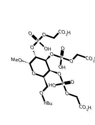 CCCCOC[C@H]1O[C@H](OC)[C@H](OP(=O)(O)OCC(=O)O)[C@@H](OP(=O)(O)OCC(=O)O)[C@H]1OP(=O)(O)OCC(=O)O